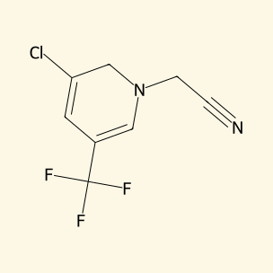 N#CCN1C=C(C(F)(F)F)C=C(Cl)C1